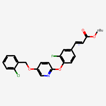 CCCCOC(=O)/C=C/c1ccc(Oc2ccc(OCc3ccccc3Cl)cn2)c(F)c1